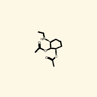 CCN[C@H]1CCCC(OC(C)=O)C1OC(C)=O